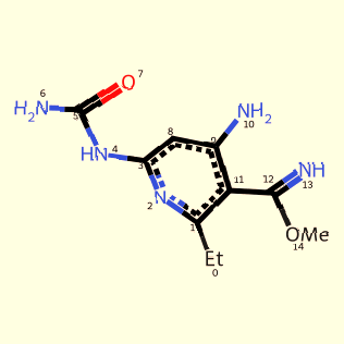 CCc1nc(NC(N)=O)cc(N)c1C(=N)OC